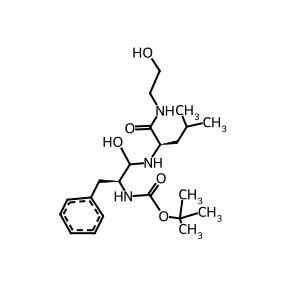 CC(C)C[C@@H](NC(O)[C@H](Cc1ccccc1)NC(=O)OC(C)(C)C)C(=O)NCCO